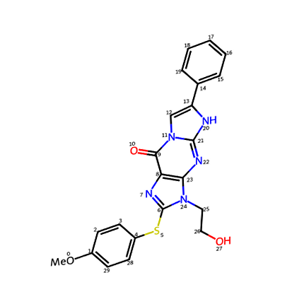 COc1ccc(Sc2nc3c(=O)n4cc(-c5ccccc5)[nH]c4nc3n2CCO)cc1